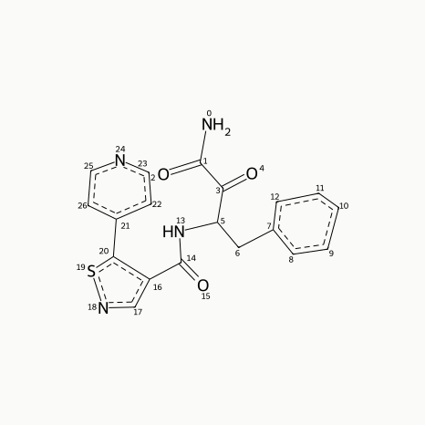 NC(=O)C(=O)C(Cc1ccccc1)NC(=O)c1cnsc1-c1ccncc1